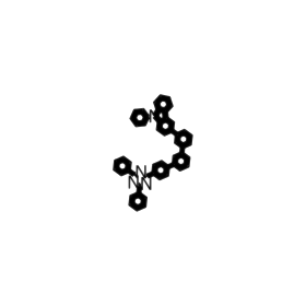 c1ccc(-c2nc(-c3ccccc3)nc(-c3ccc(-c4cccc(-c5cccc(-c6ccc7c(c6)c6ccccc6n7-c6ccccc6)c5)c4)cc3)n2)cc1